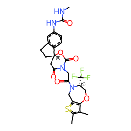 CNC(=O)Nc1ccc2c(c1)CC[C@@]21CC(=O)N(CC(=O)N2Cc3sc(C)c(C)c3OC[C@H]2C(F)(F)F)C(=O)O1